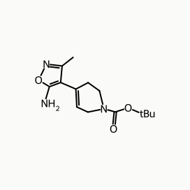 Cc1noc(N)c1C1=CCN(C(=O)OC(C)(C)C)CC1